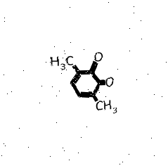 CC1=CC=C(C)C(=O)C1=O